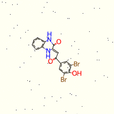 O=C1Nc2ccccc2NC1=CC(=O)c1cc(Br)c(O)c(Br)c1